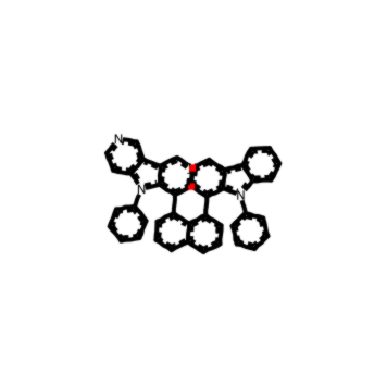 c1ccc(-n2c3ccccc3c3cccc(-c4cccc5cccc(-c6cncc7c8cnccc8n(-c8ccccc8)c67)c45)c32)cc1